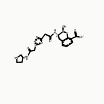 O=C(Cn1nnc(CC(=O)N[C@H]2Cc3cccc(C(=O)O)c3OB2O)n1)N[C@H]1CCNC1